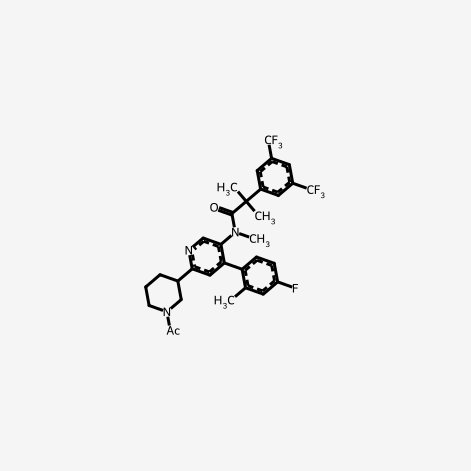 CC(=O)N1CCCC(c2cc(-c3ccc(F)cc3C)c(N(C)C(=O)C(C)(C)c3cc(C(F)(F)F)cc(C(F)(F)F)c3)cn2)C1